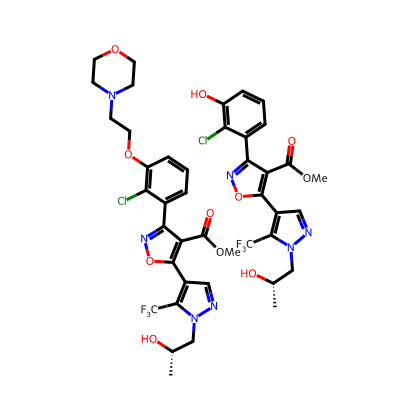 COC(=O)c1c(-c2cccc(O)c2Cl)noc1-c1cnn(C[C@H](C)O)c1C(F)(F)F.COC(=O)c1c(-c2cccc(OCCN3CCOCC3)c2Cl)noc1-c1cnn(C[C@H](C)O)c1C(F)(F)F